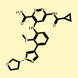 COc1c(Nc2cc(NC(=O)C3CC3)nnc2C(N)=O)cccc1-c1cnn([C@@H]2CCOC2)c1